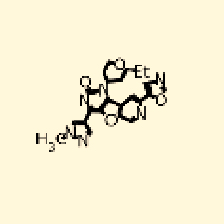 CC[C@H]1C[C@@H](n2c(=O)nc(-c3cnn(C)c3)c3oc4cnc(-c5cnco5)cc4c32)CCO1